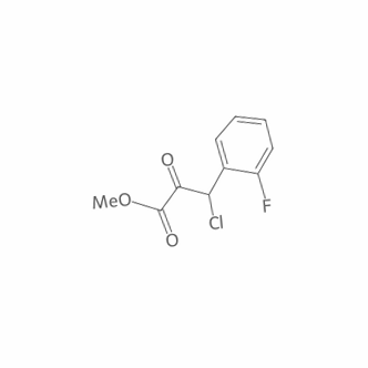 COC(=O)C(=O)C(Cl)c1ccccc1F